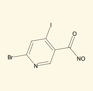 O=NC(=O)c1cnc(Br)cc1I